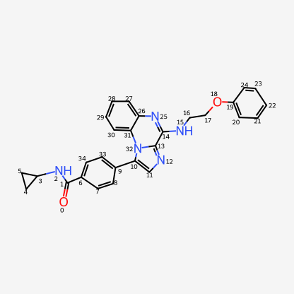 O=C(NC1CC1)c1ccc(-c2cnc3c(NCCOc4ccccc4)nc4ccccc4n23)cc1